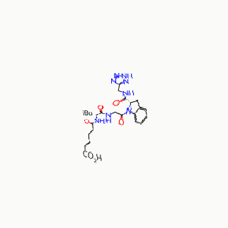 CC[C@H](C)[C@H](NC(=O)CCCCC(=O)O)C(=O)NCC(=O)N1c2ccccc2C[C@H]1C(=O)NCc1nn[nH]n1